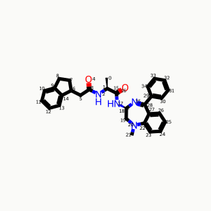 C[C@H](NC(=O)CC1CCc2ccccc21)C(=O)N[C@@H]1CN(C)c2ccccc2C(c2ccccc2)=N1